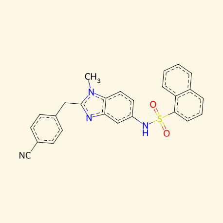 Cn1c(Cc2ccc(C#N)cc2)nc2cc(NS(=O)(=O)c3cccc4ccccc34)ccc21